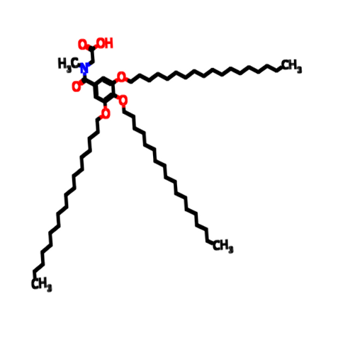 CCCCCCCCCCCCCCCCCCOc1cc(C(=O)N(C)CC(=O)O)cc(OCCCCCCCCCCCCCCCCCC)c1OCCCCCCCCCCCCCCCCCC